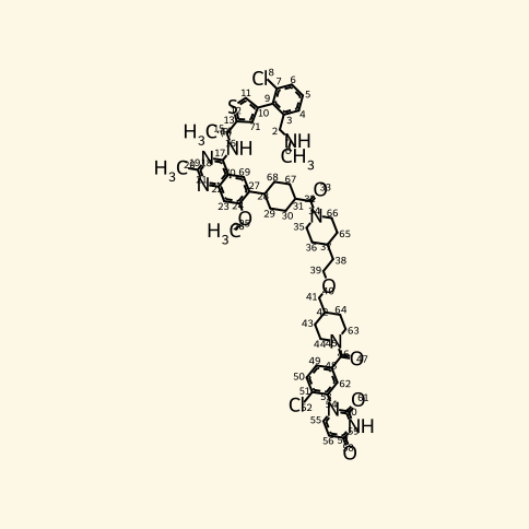 CNCc1cccc(Cl)c1-c1csc([C@@H](C)Nc2nc(C)nc3cc(OC)c(C4CCC(C(=O)N5CCC(CCOCC6CCN(C(=O)c7ccc(Cl)c(-n8ccc(=O)[nH]c8=O)c7)CC6)CC5)CC4)cc23)c1